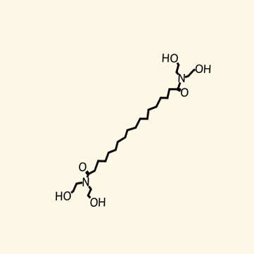 O=C(CCCCCCCCCCCCCCCCC(=O)N(CCO)CCO)N(CCO)CCO